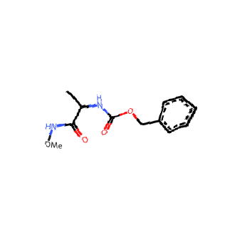 CONC(=O)C(C)NC(=O)OCc1ccccc1